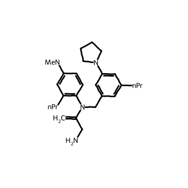 C=C(CN)N(Cc1cc(CCC)cc(N2CCCC2)c1)c1ccc(NC)cc1CCC